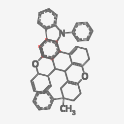 CC1(c2ccccc2)CCC2=C(C1)C(C1c3ccccc3OC3C=CC=CC31)C1=C(CCC=C1C1CC=CC3c4ccccc4N(c4ccccc4)C13)O2